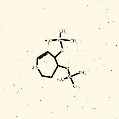 C[Si](C)(C)OC1C=CNCCC1O[Si](C)(C)C